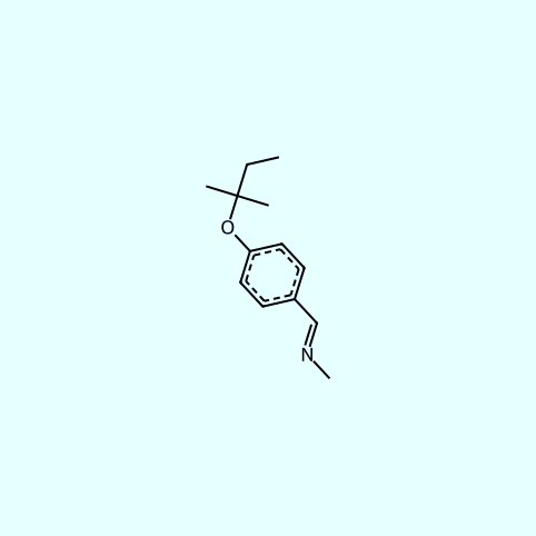 CCC(C)(C)Oc1ccc(C=NC)cc1